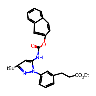 CCOC(=O)CCc1cccc(-n2nc(C(C)(C)C)cc2NC(=O)Oc2ccc3ccccc3c2)c1